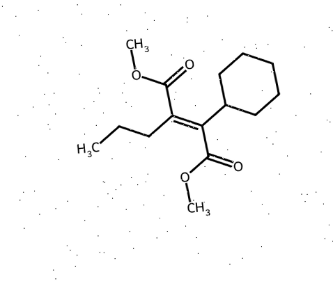 CCCC(C(=O)OC)=C(C(=O)OC)C1CCCCC1